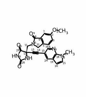 COc1ccc2c(c1)C(=O)N(C[C@@]1(C#Cc3cnc4c(ccn4C)c3)NC(=O)NC1=O)C2